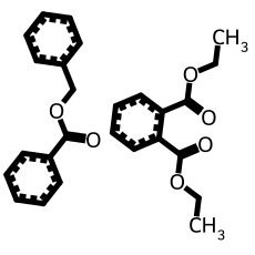 CCOC(=O)c1ccccc1C(=O)OCC.O=C(OCc1ccccc1)c1ccccc1